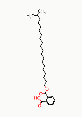 CC(C)CCCCCCCCCCCCCCCCCCOC(=O)c1ccccc1C(=O)O